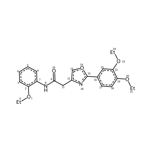 CCOc1ccccc1NC(=O)Cc1coc(-c2ccc(OCC)c(OCC)c2)n1